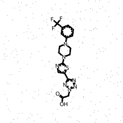 O=C(O)Cn1nnc(-c2cnc(N3CCN(c4cccc(C(F)(F)F)c4)CC3)s2)n1